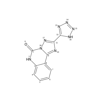 O=c1[nH]c2ccccc2c2nc(-c3nnn[nH]3)nn12